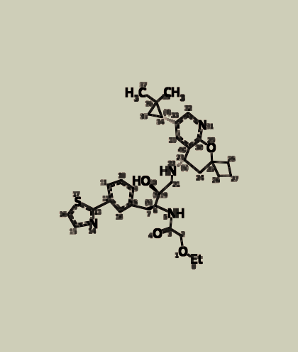 CCOCC(=O)N[C@@H](Cc1cccc(-c2nccs2)c1)[C@@H](O)CN[C@H]1CC2(CCC2)Oc2ncc([C@@H]3CC3(C)C)cc21